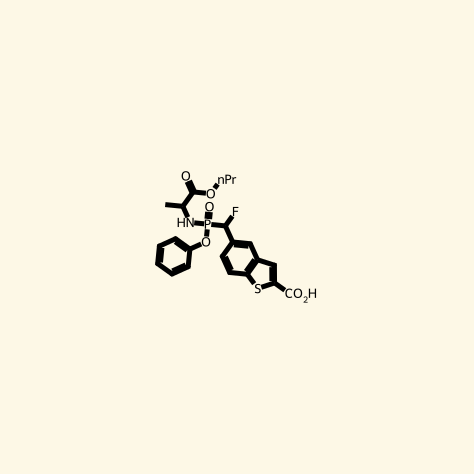 CCCOC(=O)C(C)NP(=O)(Oc1ccccc1)C(F)c1ccc2sc(C(=O)O)cc2c1